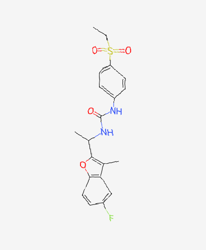 CCS(=O)(=O)c1ccc(NC(=O)NC(C)c2oc3ccc(F)cc3c2C)cc1